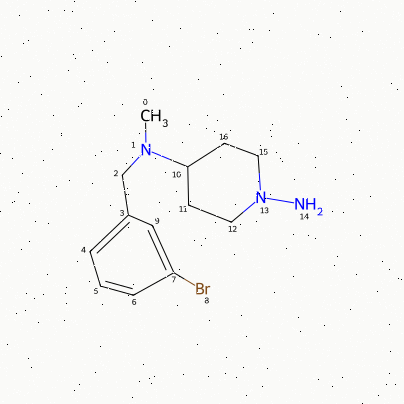 CN(Cc1cccc(Br)c1)C1CCN(N)CC1